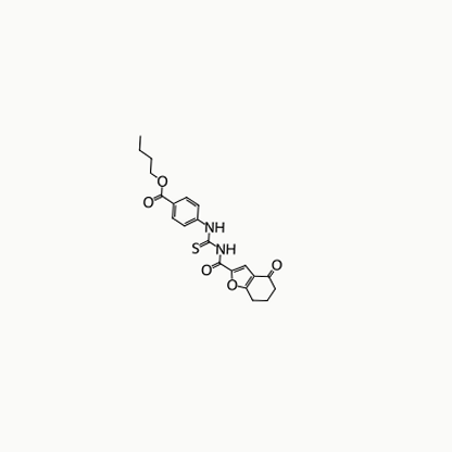 CCCCOC(=O)c1ccc(NC(=S)NC(=O)c2cc3c(o2)CCCC3=O)cc1